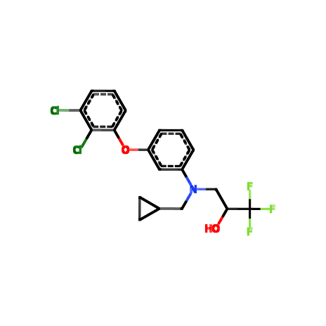 OC(CN(CC1CC1)c1cccc(Oc2cccc(Cl)c2Cl)c1)C(F)(F)F